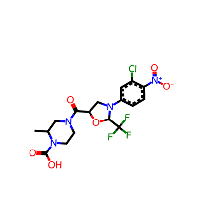 CC1CN(C(=O)C2CN(c3ccc([N+](=O)[O-])c(Cl)c3)C(C(F)(F)F)O2)CCN1C(=O)O